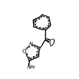 CCCc1cc(C(=O)c2ccccc2)no1